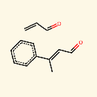 C=CC=O.CC(=CC=O)c1ccccc1